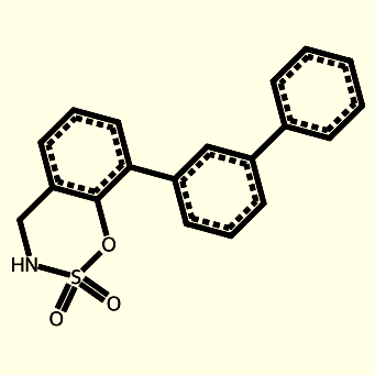 O=S1(=O)NCc2cccc(-c3cccc(-c4ccccc4)c3)c2O1